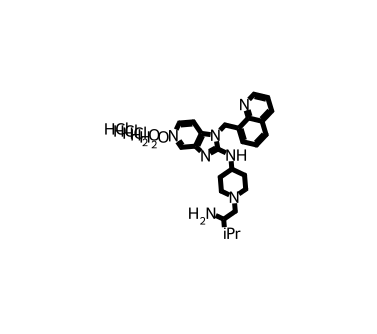 CC(C)C(N)CN1CCC(Nc2nc3cnccc3n2Cc2cccc3cccnc23)CC1.Cl.Cl.Cl.O.O